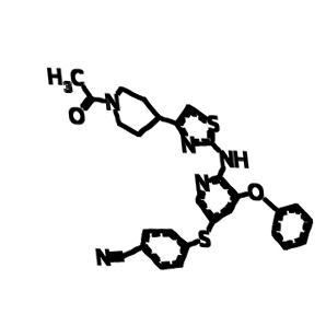 CC(=O)N1CCC(c2csc(Nc3ncc(Sc4ccc(C#N)cc4)cc3Oc3ccccc3)n2)CC1